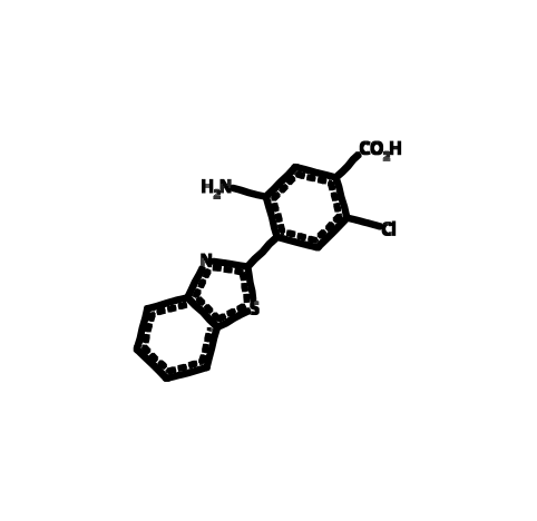 Nc1cc(C(=O)O)c(Cl)cc1-c1nc2ccccc2s1